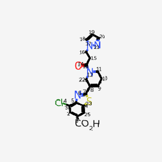 O=C(O)c1cc(Cl)c2nc(C3=CCCN(C(=O)CCn4cccn4)C3)sc2c1